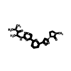 C[C@H](Nc1nccc(-c2cccc(-c3cc([C@@H]4CCN(C)C4=O)on3)n2)n1)C(=O)N(C)C